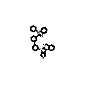 c1ccc(-n2c(-c3cccc(-c4cccc(-n5c6cscc6c6c7ccccc7cnc65)c4)c3)nc3ccccc32)cc1